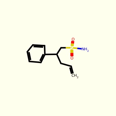 C=CCC(CS(N)(=O)=O)c1ccccc1